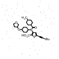 CC1CCC(C(=O)N(c2cc(C#CC(C)(C)C)sc2C(=O)O)C2CCC(OC3CCOC3)CC2)CC1